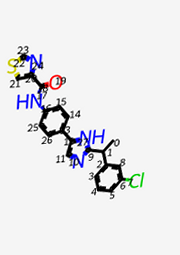 CC(c1cccc(Cl)c1)c1ncc(-c2ccc(NC(=O)c3cscn3)cc2)[nH]1